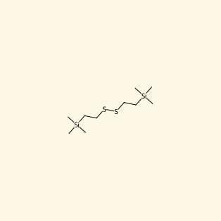 C[Si](C)(C)CCSSCC[Si](C)(C)C